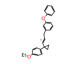 CCOc1ccc(C2(/C=C/Cc3cccc(Oc4ccccc4)c3)CC2)cc1